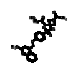 CC(=O)N1CC(CC(=O)NO)(NS(=O)(=O)c2ccc(OCc3cc(C)nc4ccccc34)cc2)C1